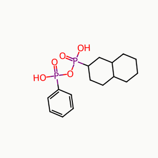 O=P(O)(OP(=O)(O)C1CCC2CCCCC2C1)c1ccccc1